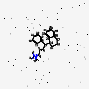 C[N+](C)(C)CCCC(c1ccccc1)C1CCCc2ccccc21